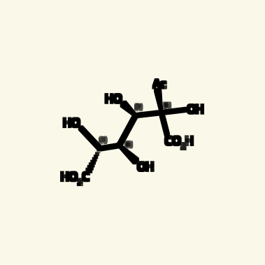 CC(=O)[C@@](O)(C(=O)O)[C@H](O)[C@@H](O)[C@@H](O)C(=O)O